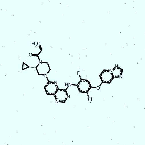 C=CC(=O)N1CCN(c2ccc3ncnc(Nc4cc(Cl)c(Oc5ccn6ncnc6c5)cc4F)c3n2)C[C@@H]1C1CC1